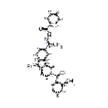 CCn1c2ccc(C(=O)c3ccccc3C)cc2c2cc(/C(C)=N/OC(=O)c3ccccc3)ccc21